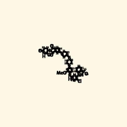 COc1cc(N2CCN(CC3CCN(c4ccc5c(c4)C(=O)N(C4CCC(=O)NC4=O)C5=O)CC3)CC2)ccc1Nc1ncc(Cl)c(Nc2ccccc2P(C)(C)=O)n1